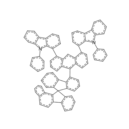 c1ccc(-n2c3ccccc3c3cccc(-c4cccc5c(-c6cccc7c6-c6ccccc6C76c7ccccc7-c7ccc8ccccc8c76)c6cccc(-c7cccc8c9ccccc9n(-c9ccccc9)c78)c6cc45)c32)cc1